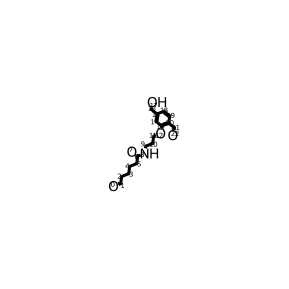 O=CCCCCC(=O)NCCCOc1cc(CO)ccc1C=O